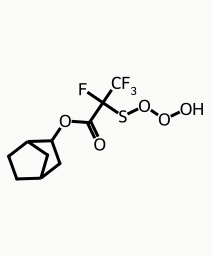 O=C(OC1CC2CCC1C2)C(F)(SOOO)C(F)(F)F